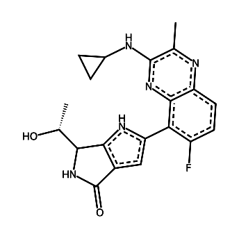 Cc1nc2ccc(F)c(-c3cc4c([nH]3)C([C@@H](C)O)NC4=O)c2nc1NC1CC1